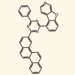 c1ccc(-c2nc(-c3ccc4ccc5c6ccccc6ccc5c4c3)nc(-c3cccc4oc5cnccc5c34)n2)cc1